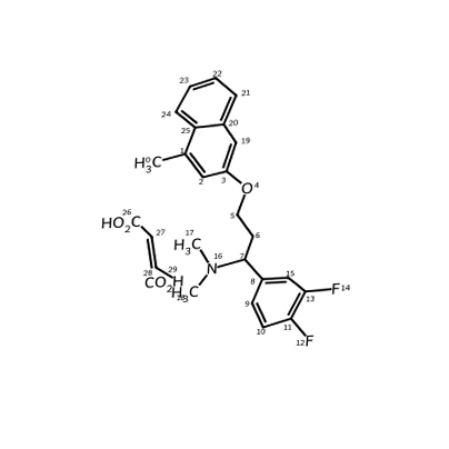 Cc1cc(OCCC(c2ccc(F)c(F)c2)N(C)C)cc2ccccc12.O=C(O)C=CC(=O)O